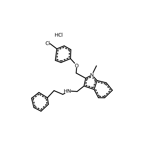 Cl.Cn1c(COc2ccc(Cl)cc2)c(CNCCc2ccccc2)c2ccccc21